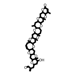 C=C(C=O)CC1CC(O)C2(C)OC3CC4OC5CC6(C)OC7(C)CCC8OC9CC%10(C)OC%11C(C)=CC(=O)OC%11CC%10OC9CC(C)C8OC7CC6OC5(C)C/C=C\C4OC3CC2O1